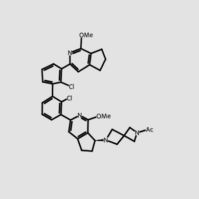 COc1nc(-c2cccc(-c3cccc(-c4cc5c(c(OC)n4)[C@@H](N4CC6(CN(C(C)=O)C6)C4)CC5)c3Cl)c2Cl)cc2c1CCC2